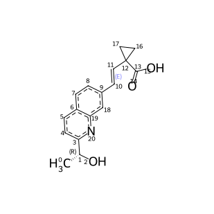 C[C@@H](O)c1ccc2ccc(/C=C/C3(C(=O)O)CC3)cc2n1